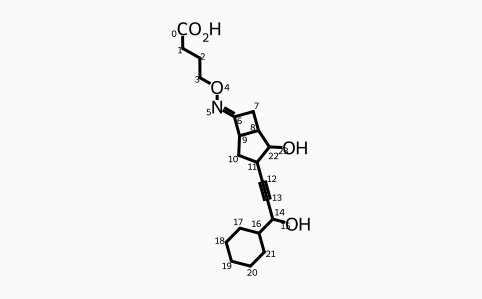 O=C(O)CCCON=C1CC2C1CC(C#CC(O)C1CCCCC1)C2O